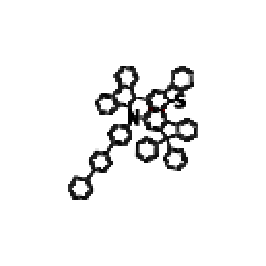 c1ccc(-c2ccc(-c3ccc(N(c4ccc5c(c4)C(c4ccccc4)(c4ccccc4)c4ccccc4-5)c4c(-c5ccc6sc7ccccc7c6c5)c5ccccc5c5ccccc45)cc3)cc2)cc1